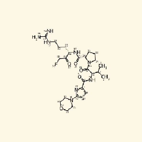 CC(C)C(NC(=O)c1csc(N2CCOCC2)n1)C(=O)N1CCC[C@H]1C(=O)N[C@@H](CCCNC(=N)N)C(=O)CF